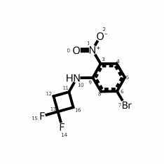 O=[N+]([O-])c1ccc(Br)cc1NC1CC(F)(F)C1